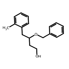 Cc1ccccc1CC(CCO)OCc1ccccc1